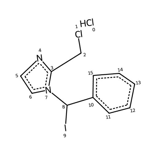 Cl.ClCc1nccn1C(I)c1ccccc1